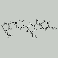 COc1cccc(SN2CCN(c3nc(C)cc(Nc4ccc(C)cc4)n3)CC2)c1